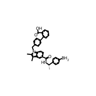 Bc1ccc([C@H](C)NC(=O)c2ccc3c(c2)c(C)c(C)n3Cc2ccc(-c3ccccc3C(=O)O)cc2)cc1